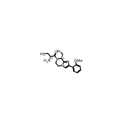 COc1ccccc1-c1cn2c(n1)[C@H](CC(C)C)N(C(=O)[C@@H](N)CS)CC2